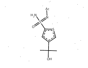 CC(=O)N=S(N)(=O)c1cc(C(C)(C)O)cs1